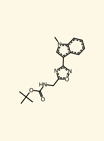 Cn1cc(-c2noc(CNC(=O)OC(C)(C)C)n2)c2ccccc21